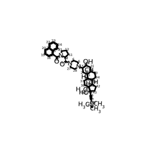 C[C@]12CC(N3CCN(C(=O)[C@@H]4CCCN4C(=O)c4cccc5ccccc45)CC3)C(O)CC1CC[C@@H]1[C@@H]2CC[C@@]2(C)[C@H]1CC[C@]2(O)C#C[Si](C)(C)C